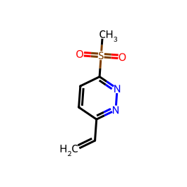 C=Cc1ccc(S(C)(=O)=O)nn1